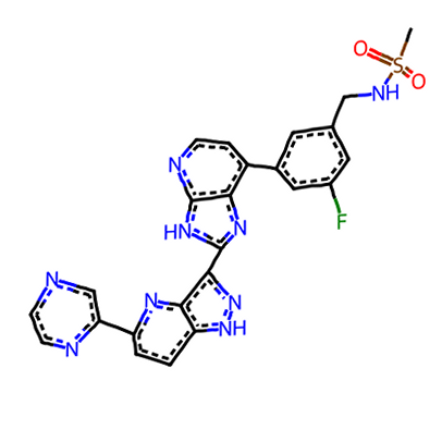 CS(=O)(=O)NCc1cc(F)cc(-c2ccnc3[nH]c(-c4n[nH]c5ccc(-c6cnccn6)nc45)nc23)c1